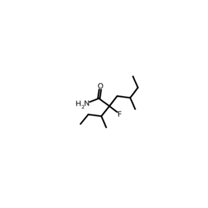 CCC(C)CC(F)(C(N)=O)C(C)CC